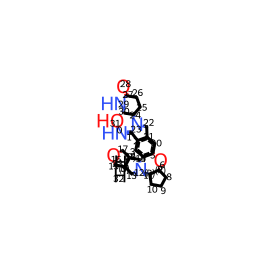 N=C1c2ccc(O[C@@H]3CCC[C@H]3N3C[C@H]4COC[C@H]4C3)cc2CN1C1CCC(=O)NC1O